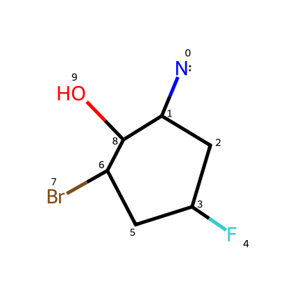 [N]C1CC(F)CC(Br)C1O